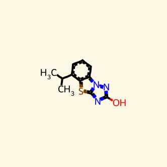 CC(C)c1cccc2c1sc1nc(O)nn12